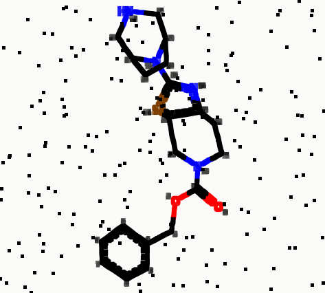 O=C(OCc1ccccc1)N1CCc2nc(N3C4CCC3CNC4)sc2C1